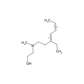 C/C=C\C=C(/CC)CCN(C)CCO